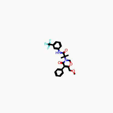 COCC1=C(c2ccccc2)C(=O)N(C(C)(C)C(=O)Nc2cccc(C(F)(F)F)c2)CO1